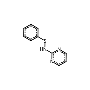 c1ccc(SNc2ncccn2)cc1